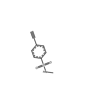 C#Cc1ccc(S(=O)(=O)NC)cc1